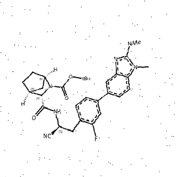 CNc1nc2cc(-c3ccc(C[C@@H](C#N)NC(=O)[C@@H]4[C@H]5CC[C@H](C5)N4C(=O)OC(C)(C)C)c(F)c3)ccc2n1C